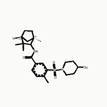 Cc1ccc(C(=O)NC2C(C)(C)[C@@H]3CC[C@]2(C)C3)cc1S(=O)(=O)N1CCC(O)CC1